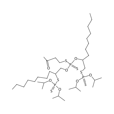 CCCCCCCCC(CSP(=S)(OC(C)C)OC(C)C)OP(=S)(OCC(CCCCCCCC)SP(=S)(OC(C)C)OC(C)C)SCCC(C)=O